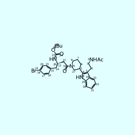 CC(=O)NCCc1c(C2CCCN(C(=O)C[C@@H](Cc3ccc(Br)cc3)NC(=O)OC(C)(C)C)C2)[nH]c2ccccc12